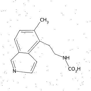 Cc1ccc2cnccc2c1CCNC(=O)O